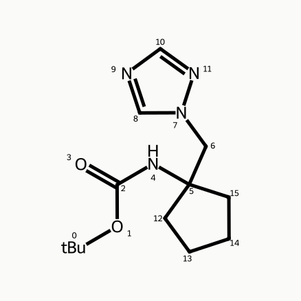 CC(C)(C)OC(=O)NC1(Cn2cncn2)CCCC1